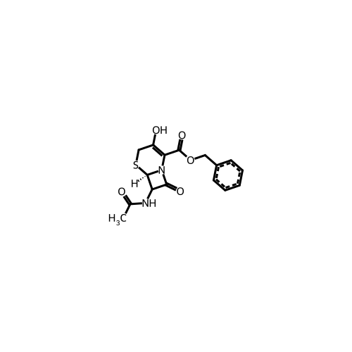 CC(=O)NC1C(=O)N2C(C(=O)OCc3ccccc3)=C(O)CS[C@H]12